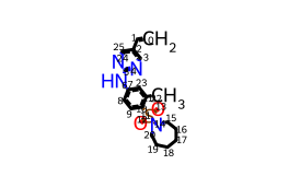 C=Cc1cnc(Nc2ccc(S(=O)(=O)N3CCCCCC3)c(C)c2)nc1